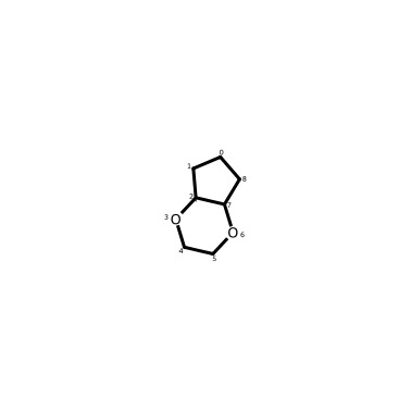 C1C[C]2OCCOC2C1